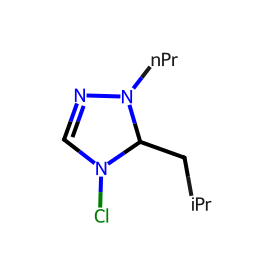 CCCN1N=CN(Cl)C1CC(C)C